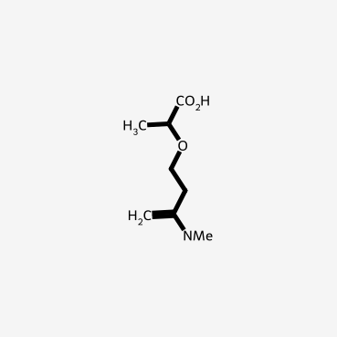 C=C(CCOC(C)C(=O)O)NC